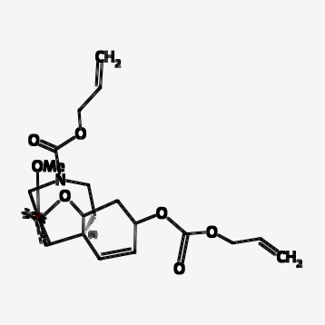 C=CCOC(=O)OC1C=C[C@@]23CCN(C(=O)OCC=C)Cc4ccc(OC)c(c42)OC3C1